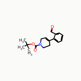 CC(C)(C)OC(=O)N1CC=C(c2ccccc2C=O)CC1